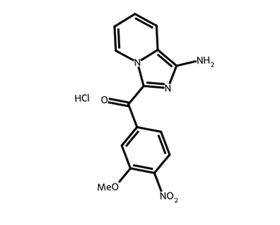 COc1cc(C(=O)c2nc(N)c3ccccn23)ccc1[N+](=O)[O-].Cl